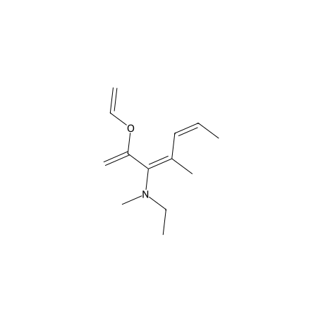 C=COC(=C)/C(=C(C)\C=C/C)N(C)CC